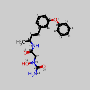 CC(C=Cc1cccc(Oc2ccccc2)c1)NC(=O)CN(O)C(N)=O